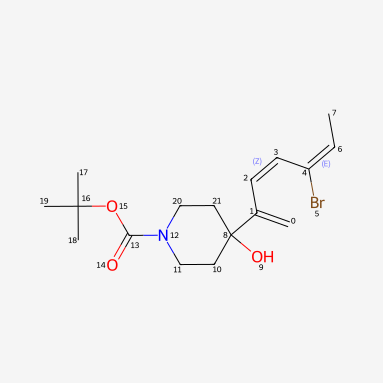 C=C(/C=C\C(Br)=C/C)C1(O)CCN(C(=O)OC(C)(C)C)CC1